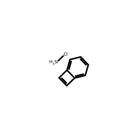 C1=Cc2ccccc21.[SiH3]Cl